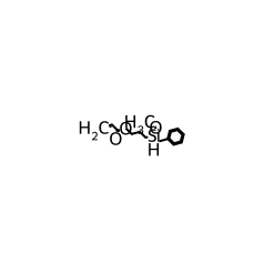 C=CC(=O)OCCC[SiH](Cc1ccccc1)OC